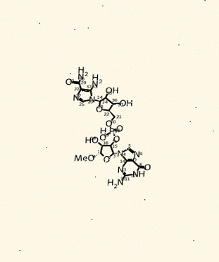 CO[C@H]1O[C@@H](n2cnc3c(=O)[nH]c(N)nc32)C(OP(=O)(O)OC[C@H]2O[C@@H](n3cnc(C(N)=O)c3N)C(O)C2O)C1O